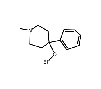 CCOC1(c2ccccc2)CCN(C)CC1